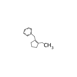 CCC1=C(Cc2ccccc2)CCC1